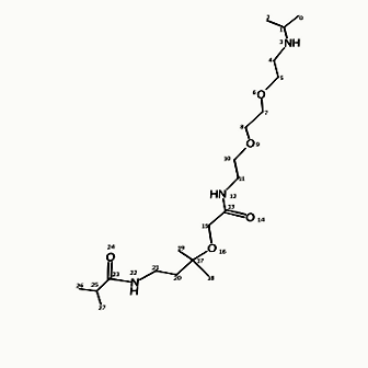 CC(C)NCCOCCOCCNC(=O)COC(C)(C)CCNC(=O)C(C)C